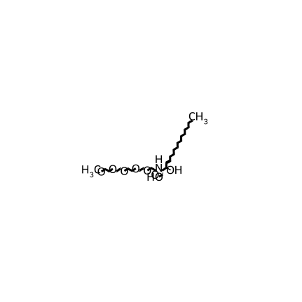 CCCCCCCCCCCCC/C=C/[C@@H](O)[C@H](CO)NC(=O)COCCOCCOCCOCCOC